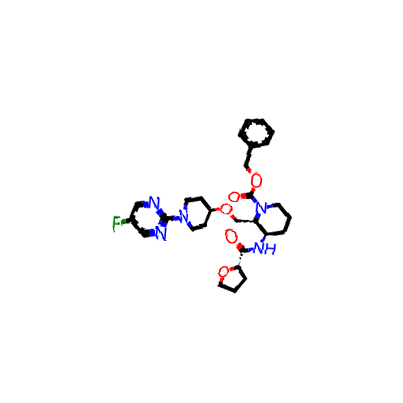 O=C(N[C@@H]1CCCN(C(=O)OCc2ccccc2)[C@@H]1COC1CCN(c2ncc(F)cn2)CC1)[C@@H]1CCCO1